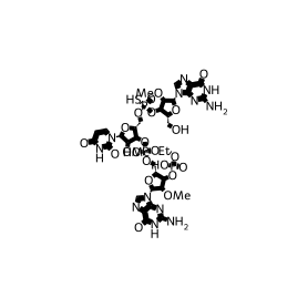 CCOP(=O)(O)OC1C(OC)[C@H](n2cnc3c(=O)[nH]c(N)nc32)O[C@@H]1COP(=O)(O)OC1C(OC)[C@H](n2ccc(=O)[nH]c2=O)O[C@@H]1COP(=O)(S)OC1C(OC)[C@H](n2cnc3c(=O)[nH]c(N)nc32)O[C@@H]1CO